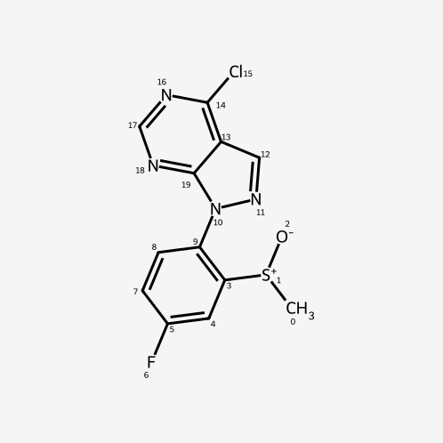 C[S+]([O-])c1cc(F)ccc1-n1ncc2c(Cl)ncnc21